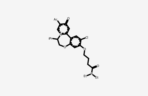 CCN(CC)C(=O)CCCOc1cc2c(cc1Cl)-c1cc(=O)c(C(C)=O)cn1C(C(C)C)CO2